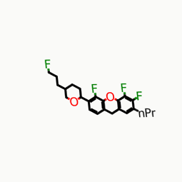 CCCc1cc2c(c(F)c1F)Oc1c(ccc(C3CCC(CCCF)CO3)c1F)C2